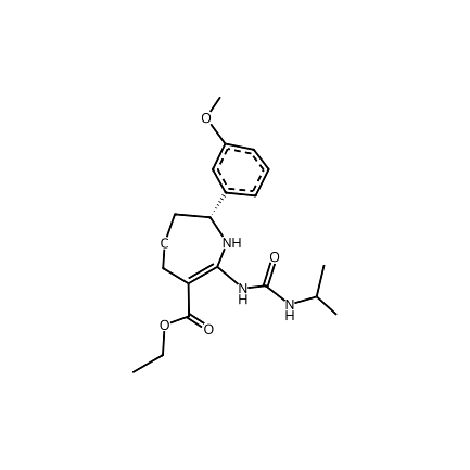 CCOC(=O)C1=C(NC(=O)NC(C)C)N[C@@H](c2cccc(OC)c2)CCC1